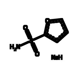 NS(=O)(=O)c1ccco1.[NaH]